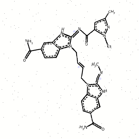 CCn1nc(C)cc1C(=O)/N=c1/[nH]c2cc(C(N)=O)ccc2n1C/C=C/Cn1/c(=N\C)[nH]c2cc(C(N)=O)ccc21